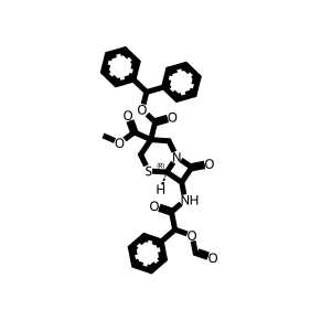 COC(=O)C1(C(=O)OC(c2ccccc2)c2ccccc2)CS[C@@H]2C(NC(=O)C(OC=O)c3ccccc3)C(=O)N2C1